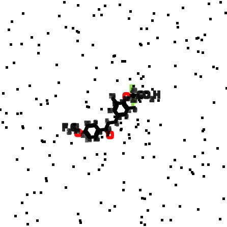 Cc1cc(CCC(=O)c2ccc(OC(F)(F)F)cc2)cc(C)c1OC(F)(F)C(=O)O